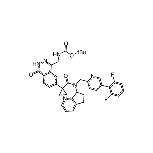 CC(C)(C)OC(=O)NCc1n[nH]c(=O)c2ccc(C3(C(=O)N(Cc4ccc(-c5c(F)cccc5F)cn4)C4CCc5cccnc54)CC3)cc12